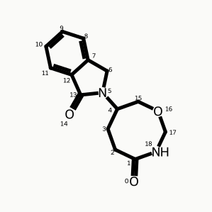 O=C1CCC(N2Cc3ccccc3C2=O)COCN1